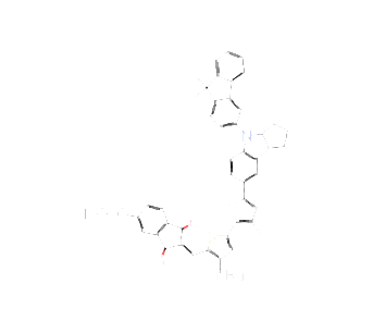 CCCCc1cc(-c2sc(-c3ccc4c(c3)C3CCCC3N4c3ccc4c(c3)-c3ccccc3C4(C)C)cc2C)sc1/C=C1\C(=O)c2ccc(C(=O)O)cc2C1=O